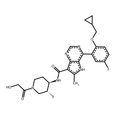 Cc1[nH]c2c(-c3cc(F)ccc3OCC3CC3)ncnc2c1C(=O)N[C@@H]1CCN(C(=O)CO)C[C@H]1F